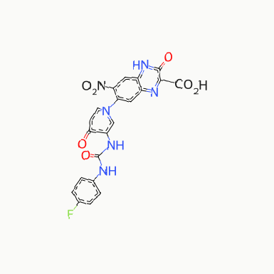 O=C(Nc1ccc(F)cc1)Nc1cn(-c2cc3nc(C(=O)O)c(=O)[nH]c3cc2[N+](=O)[O-])ccc1=O